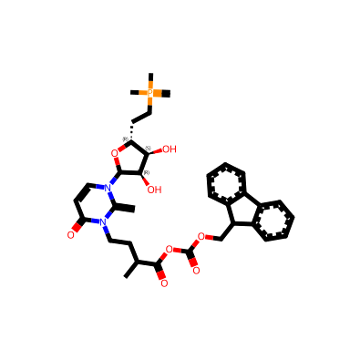 C=C1N(CCC(C)C(=O)OC(=O)OCC2c3ccccc3-c3ccccc32)C(=O)C=CN1C1O[C@H](CCP(=C)(C)C)[C@@H](O)[C@H]1O